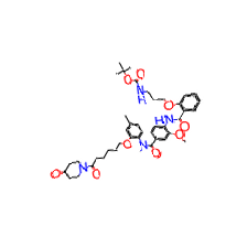 COc1cc(C(=O)N(C)c2ccc(C)cc2OCCCCCC(=O)N2CCC(=O)CC2)ccc1NC(=O)c1ccccc1OCCCNC(=O)OC(C)(C)C